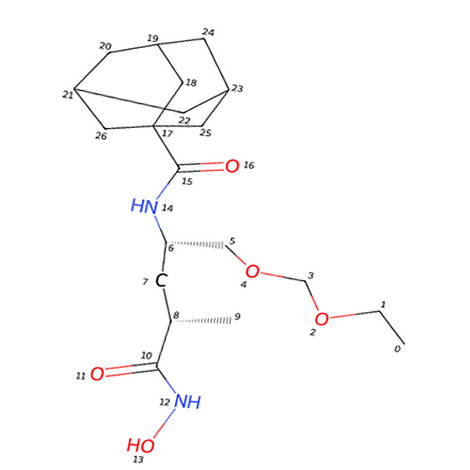 CCOCOC[C@H](C[C@H](C)C(=O)NO)NC(=O)C12CC3CC(CC(C3)C1)C2